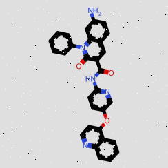 Nc1ccc2cc(C(=O)Nc3ccc(Oc4ccnc5ccccc45)cn3)c(=O)n(-c3ccccc3)c2c1